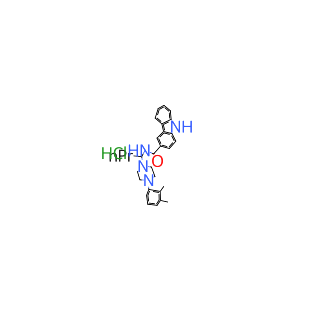 CCCC(NC(=O)c1ccc2[nH]c3ccccc3c2c1)N1CCN(c2cccc(C)c2C)CC1.Cl